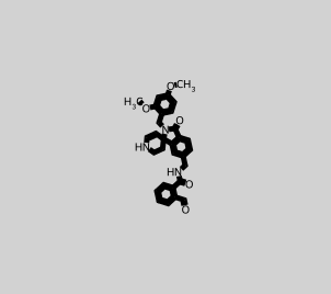 COc1ccc(CN2C(=O)c3ccc(CNC(=O)c4ccccc4C=O)cc3C23C=CNCC3)c(OC)c1